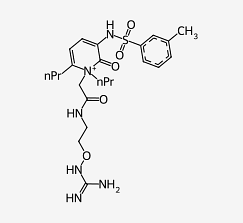 CCCC1=CC=C(NS(=O)(=O)c2cccc(C)c2)C(=O)[N+]1(CCC)CC(=O)NCCONC(=N)N